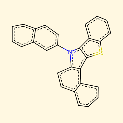 c1ccc2cc(-n3c4ccc5ccccc5c4c4sc5ccccc5c43)ccc2c1